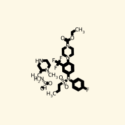 CC1CNCCN1C.CCCS(=O)(=O)N(c1ccc(F)cc1)c1ccc(N2CCN(C(=O)OCC)CC2)c(C(F)(F)F)c1.N[SH](=O)=O